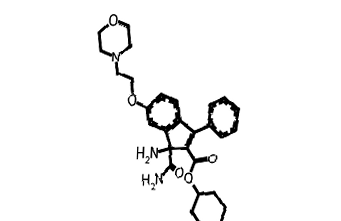 NC(=O)C1(N)C(C(=O)OC2CCCCC2)=C(c2ccccc2)c2ccc(OCCN3CCOCC3)cc21